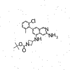 Cc1cccc(Cl)c1-c1cc(NC2CN(C(=O)OC(C)(C)C)C2)c2cc(N)ncc2c1